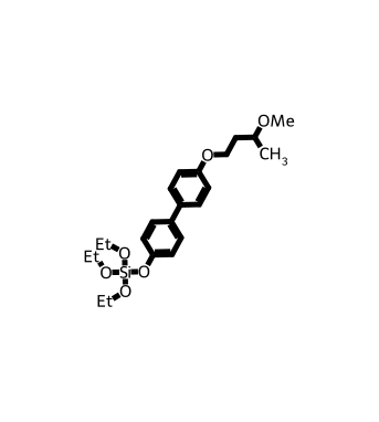 CCO[Si](OCC)(OCC)Oc1ccc(-c2ccc(OCCC(C)OC)cc2)cc1